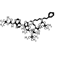 CC(C)(C)OC(=O)Nc1ncnc2c1ncn2[C@@H]1O[C@H](CN(CCCN(CCc2ccccc2)C(=O)OC(C)(C)C)CC[C@H](NC(=O)OC(C)(C)C)C(=O)O)[C@H]2OC(C)(C)O[C@H]21